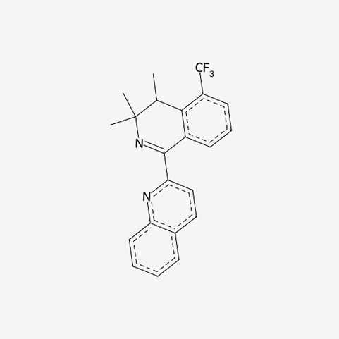 CC1c2c(cccc2C(F)(F)F)C(c2ccc3ccccc3n2)=NC1(C)C